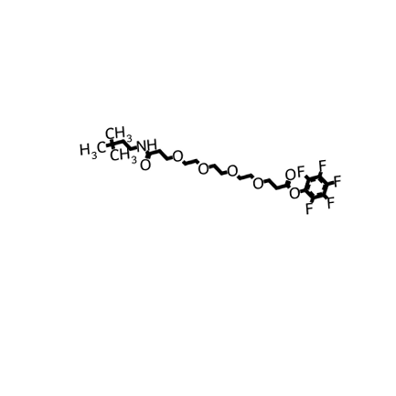 CC(C)(C)CCNC(=O)CCOCCOCCOCCOCCC(=O)Oc1c(F)c(F)c(F)c(F)c1F